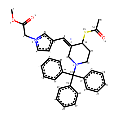 COC(=O)Cn1ccc(/C=C2\CN(C(c3ccccc3)(c3ccccc3)c3ccccc3)CCC2SC(C)=O)c1